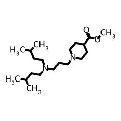 COC(=O)C1CCN(CCCN(CCC(C)C)CCC(C)C)CC1